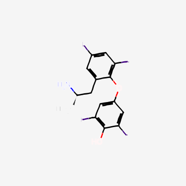 N[C@@H](Cc1cc(I)cc(I)c1Oc1cc(I)c(O)c(I)c1)C(=O)O